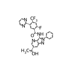 C[C@H](O)c1cnc2c(NC(=O)c3cc(-c4ncccn4)c(C(F)(F)F)cc3F)n(-c3ccccc3)nc2c1